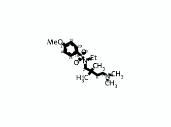 CCN(CC(C)(C)CCN(C)C)S(=O)(=O)c1ccc(OC)cc1